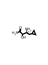 NC(=O)C(O)[C@@H](N)CC1CC1